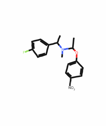 CC(Oc1ccc([N+](=O)[O-])cc1)N(C)C(C)c1ccc(F)cc1